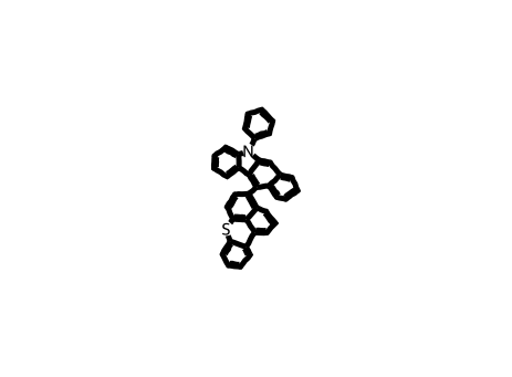 c1ccc(-n2c3ccccc3c3c(-c4ccc5c6c(cccc46)-c4ccccc4S5)c4ccccc4cc32)cc1